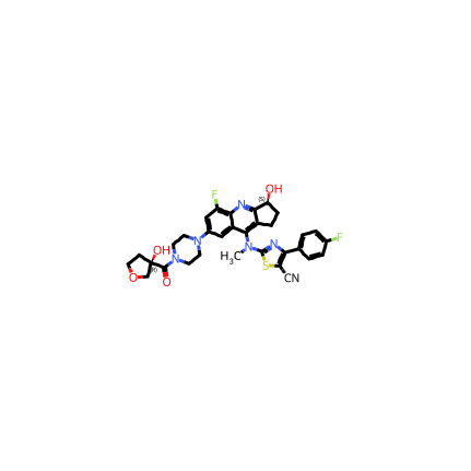 CN(c1nc(-c2ccc(F)cc2)c(C#N)s1)c1c2c(nc3c(F)cc(N4CCN(C(=O)[C@@]5(O)CCOC5)CC4)cc13)[C@@H](O)CC2